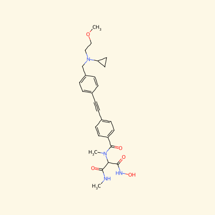 CNC(=O)C(C(=O)NO)N(C)C(=O)c1ccc(C#Cc2ccc(CN(CCOC)C3CC3)cc2)cc1